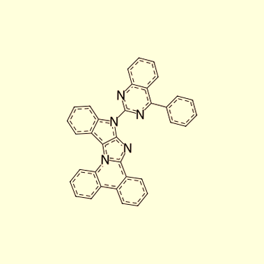 c1ccc(-c2nc(-n3c4ccccc4c4c3nc3c5ccccc5c5ccccc5n34)nc3ccccc23)cc1